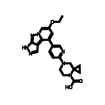 CCOc1cc(-c2ccc(N3CCN(C(=O)O)C4(CC4)C3)nc2)c2c3cn[nH]c3nn2c1